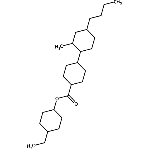 CCCCC1CCC(C2CCC(C(=O)OC3CCC(CC)CC3)CC2)C(C)C1